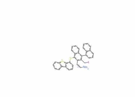 N/C=C\c1c(CI)c(-c2cccc3ccccc23)c2ccccc2c1Sc1cccc2c1sc1ccccc12